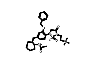 CC(=O)NC1CCCCC1Cc1ccc(N2CC(=O)N(CC[Si](C)(C)C)S2(=O)=O)c(OCc2ccccc2)c1